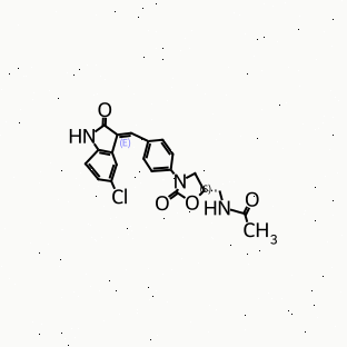 CC(=O)NC[C@H]1CN(c2ccc(/C=C3/C(=O)Nc4ccc(Cl)cc43)cc2)C(=O)O1